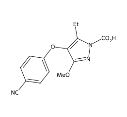 CCc1c(Oc2ccc(C#N)cc2)c(OC)nn1C(=O)O